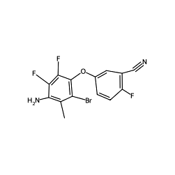 Cc1c(N)c(F)c(F)c(Oc2ccc(F)c(C#N)c2)c1Br